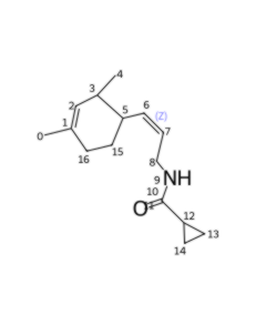 CC1=CC(C)C(/C=C\CNC(=O)C2CC2)CC1